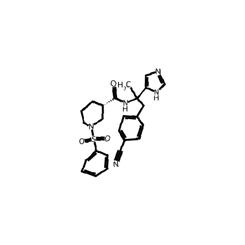 CC(Cc1ccc(C#N)cc1)(NC(=O)[C@H]1CCCN(S(=O)(=O)c2ccccc2)C1)c1cnc[nH]1